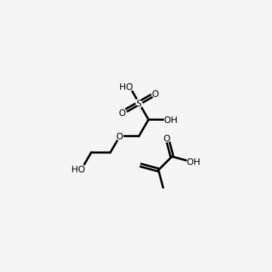 C=C(C)C(=O)O.O=S(=O)(O)C(O)COCCO